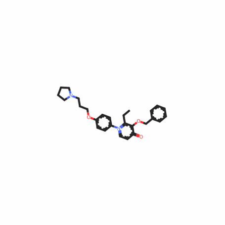 CCc1c(OCc2ccccc2)c(=O)ccn1-c1ccc(OCCCN2CCCC2)cc1